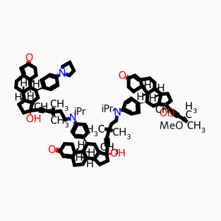 COC(C)(C)C#C[C@]1(O)CC[C@H]2[C@@H]3CCC4=CC(=O)CC[C@@H]4[C@H]3[C@@H](c3ccc(N(CCC(C)(C)C#C[C@]4(O)CC[C@H]5[C@@H]6CCC7=CC(=O)CC[C@@H]7[C@H]6[C@@H](c6ccc(N(CCC(C)(C)C#C[C@]7(O)CC[C@H]8[C@@H]9CCC%10=CC(=O)CC[C@@H]%10[C@H]9[C@@H](c9ccc(N%10CCCC%10)cc9)C[C@@]87C)C(C)C)cc6)C[C@@]54C)C(C)C)cc3)C[C@@]21C